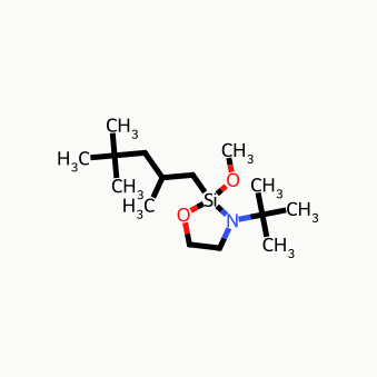 CO[Si]1(CC(C)CC(C)(C)C)OCCN1C(C)(C)C